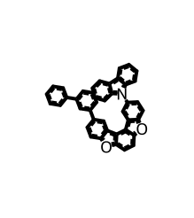 c1ccc(-c2cccc(-c3ccc4oc5ccc6oc7ccc(-n8c9ccccc9c9ccccc98)cc7c6c5c4c3)c2)cc1